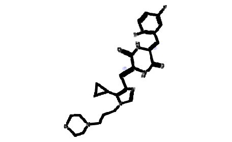 O=c1[nH]/c(=C\c2ncn(CCCN3CCOCC3)c2C2CC2)c(=O)[nH]/c1=C\c1cc(F)ccc1F